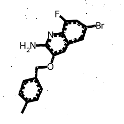 Cc1ccc(COc2cc3cc(Br)cc(F)c3nc2N)cc1